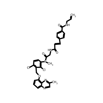 C=CCNC(=O)c1ccc(C=CC(=O)NCC(=O)N(C)c2ccc(Cl)c(COc3cccc4ncc(C)nc34)c2Cl)cc1